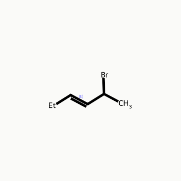 [CH2]C/C=C/C(C)Br